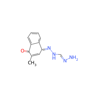 CC1=CC(=NNC=NN)c2ccccc2C1=O